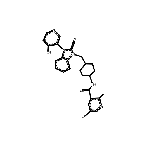 Cc1ncc(Cl)cc1C(=O)NC1CCC(Cn2c(=O)n(-c3cnccc3C#N)c3ccccc32)CC1